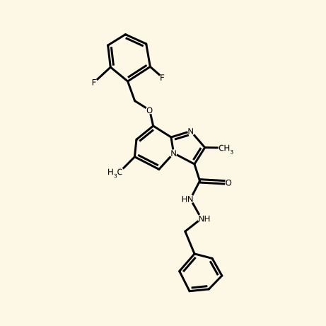 Cc1cc(OCc2c(F)cccc2F)c2nc(C)c(C(=O)NNCc3ccccc3)n2c1